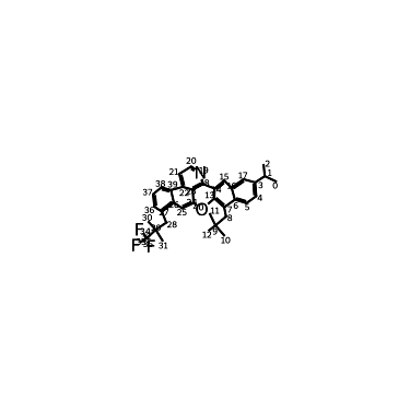 CC(C)c1ccc2c(CC(C)(C)C)c3c(cc2c1)-c1nccc2c1c(cc1c(CC(C)(C)C(F)(F)F)cccc12)O3